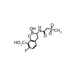 CS(=O)(=O)CC(=O)NC1Cc2ccc(F)c(C(=O)O)c2OB1O